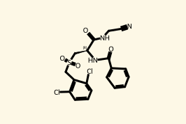 N#CCNC(=O)[C@H](CS(=O)(=O)Cc1c(Cl)cccc1Cl)NC(=O)c1ccccc1